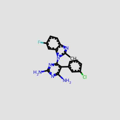 Cc1nc2ccc(F)cc2n1-c1nc(N)nc(N)c1-c1cccc(Cl)c1